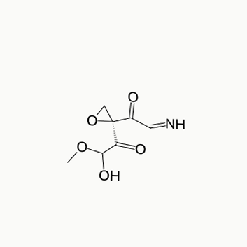 COC(O)C(=O)[C@@]1(C(=O)C=N)CO1